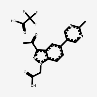 CC(=O)c1nn(CC(=O)O)c2ccc(-c3cnc(C)nc3)cc12.O=C(O)C(F)(F)F